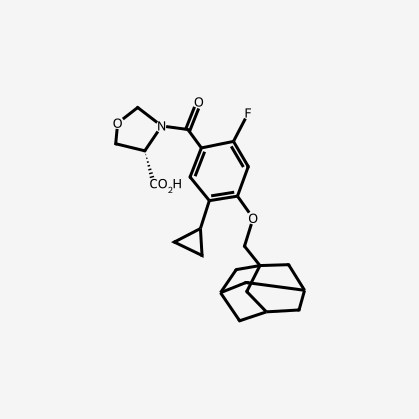 O=C(O)[C@@H]1COCN1C(=O)c1cc(C2CC2)c(OCC23CC4CC(CC(C4)C2)C3)cc1F